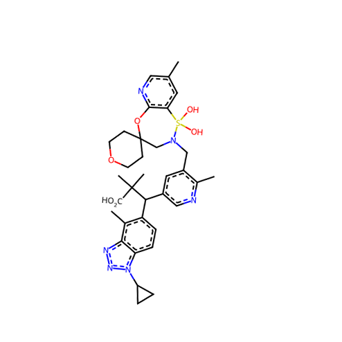 Cc1cnc2c(c1)S(O)(O)N(Cc1cc(C(c3ccc4c(nnn4C4CC4)c3C)C(C)(C)C(=O)O)cnc1C)CC1(CCOCC1)O2